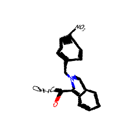 O=CC(=O)c1c2ccccc2cn1Cc1ccc([N+](=O)[O-])cc1